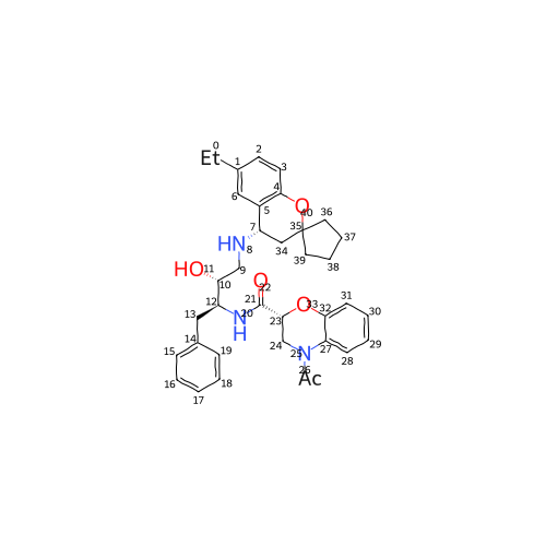 CCc1ccc2c(c1)[C@@H](NC[C@@H](O)[C@H](Cc1ccccc1)NC(=O)[C@H]1CN(C(C)=O)c3ccccc3O1)CC1(CCCC1)O2